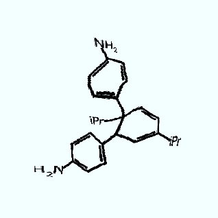 CC(C)C1=CC(c2ccc(N)cc2)C(c2ccc(N)cc2)(C(C)C)C=C1